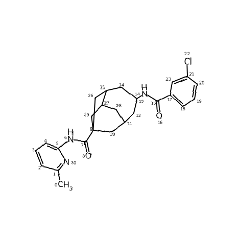 Cc1cccc(NC(=O)C23CC4CC(NC(=O)c5cccc(Cl)c5)CC(C2)C(C4)C3)n1